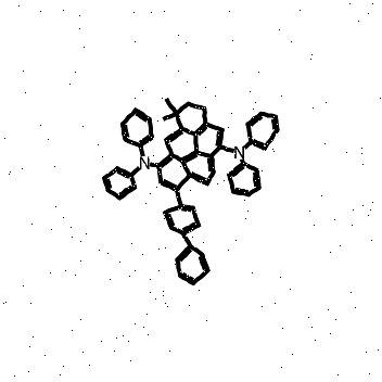 CC1(C)CCc2cc(N(c3ccccc3)c3ccccc3)c3ccc4c(-c5ccc(-c6ccccc6)cc5)cc(N(c5ccccc5)c5ccccc5)c5cc1c2c3c45